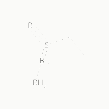 B#S(=BB)CC